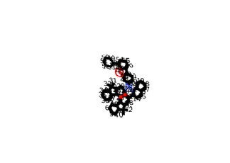 CC1(C)c2ccccc2-c2ccc(-c3ccc4ccccc4c3N(c3ccc4c(c3)C(C)(C)c3ccccc3-4)c3ccc4c(c3)oc3c(C5CCCCC5)cccc34)cc21